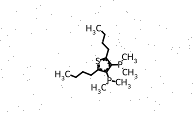 CCCCc1sc(CCCC)c(P(C)C)c1P(C)C